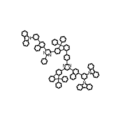 c1ccc(-c2nc(-c3ccc4c(c3)C(c3ccccc3)(c3ccccc3)c3cccc(-c5ccc(-c6nc(-c7ccc8c(c7)C(c7ccccc7)(c7ccccc7)c7ccccc7-8)cc(-c7ccc(-c8cc(-n9c%10ccccc%10c%10ccccc%109)cc(-n9c%10ccccc%10c%10ccccc%109)c8)c8ccccc78)n6)cc5)c3-4)cc(-c3ccc(-c4cccc(-n5c6ccccc6c6ccccc65)c4)c4ccccc34)n2)cc1